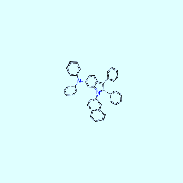 c1ccc(-c2c(-c3ccccc3)n(-c3ccc4ccccc4c3)c3cc(N(c4ccccc4)c4ccccc4)ccc23)cc1